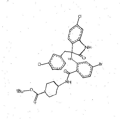 CC(C)(C)OC(=O)N1CCC(NC(=O)c2ccc(Br)cc2NC2(Cc3cccc(Cl)c3)C(=O)Nc3cc(Cl)ccc32)CC1